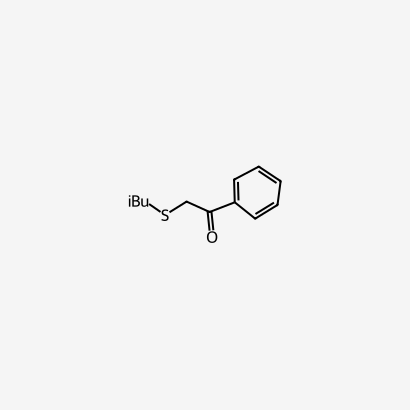 CCC(C)SCC(=O)c1ccccc1